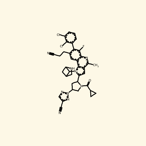 Cc1nc2c(F)c(-c3cccc(Cl)c3Cl)c(CCC#N)cc2c2c1cc(C1CC(n3ncc(C#N)n3)CN1C(=O)C1CC1)n2C1C2CNC1C2